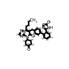 CCCCc1c(Cc2ccc(-c3ccccc3-c3noc(=O)[nH]3)cc2)c(=O)n(C2CCC(=O)CC2)c2ncnn12